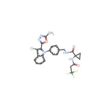 Cc1nnc(-c2c(Cl)c3ccccc3n2-c2ccc(CNC(=O)C3(NC(=O)CC(F)(F)F)CC3)cc2)o1